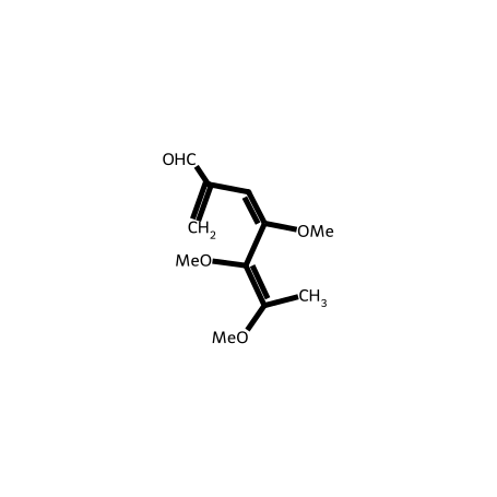 C=C(C=O)/C=C(OC)\C(OC)=C(/C)OC